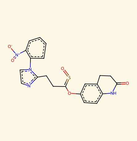 O=S=C(CCc1nccn1-c1ccccc1[N+](=O)[O-])Oc1ccc2c(c1)CCC(=O)N2